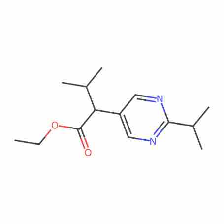 CCOC(=O)C(c1cnc(C(C)C)nc1)C(C)C